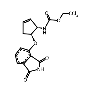 O=C(N[C@H]1C=CC[C@@H]1Oc1cccc2c1C(=O)NC2=O)OCC(Cl)(Cl)Cl